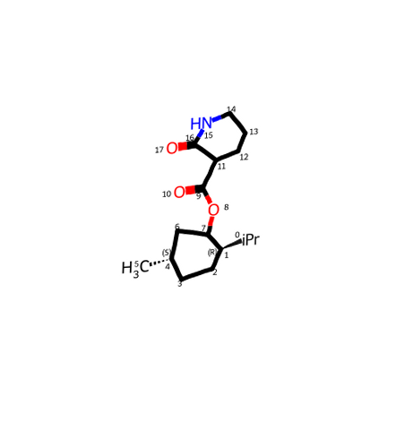 CC(C)[C@H]1CC[C@H](C)CC1OC(=O)C1CCCNC1=O